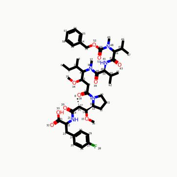 CCC(C)C(C(CC(=O)N1CCC[C@H]1C(OC)[C@@H](C)C(=O)NC(Cc1ccc(F)cc1)C(=O)O)OC)N(C)C(=O)[C@@H](NC(=O)C(C(C)C)N(C)C(=O)OCc1ccccc1)C(C)C